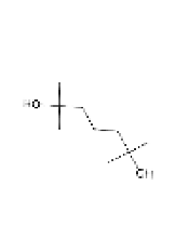 CC(C)(O)CCCC(C)(C)O